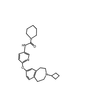 O=C(Nc1ccc(Oc2ccc3c(c2)CCN(C2CCC2)CC3)nc1)N1CCCCC1